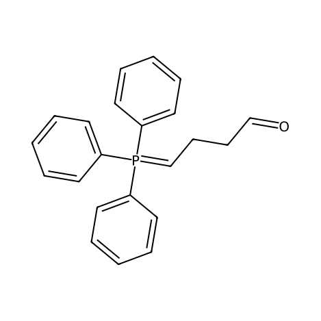 O=CCCC=P(c1ccccc1)(c1ccccc1)c1ccccc1